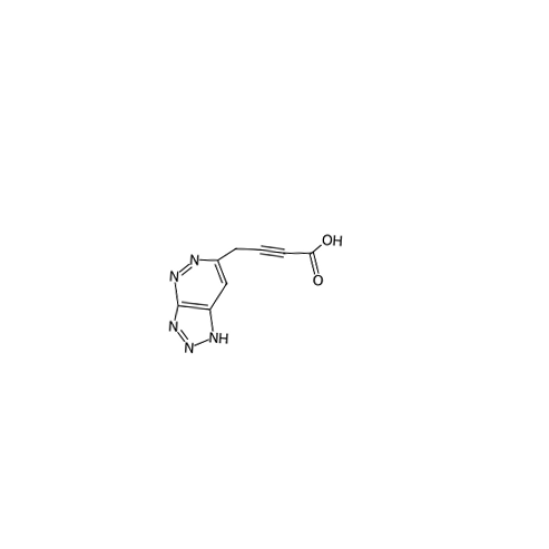 O=C(O)C#CCc1cc2[nH]nnc2nn1